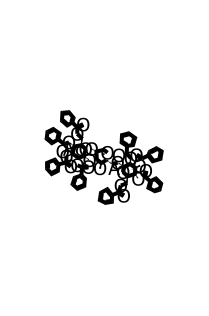 CC(=O)O[C@H]1[C@H](O[C@H]2O[C@H](COC(=O)c3ccccc3)[C@@H](OC(=O)c3ccccc3)[C@H](OC(=O)c3ccccc3)[C@@H]2OC(=O)c2ccccc2)[C@H](OC(C)=O)[CH]O[C@@H]1CO[C@H]1O[C@H](COC(=O)c2ccccc2)[C@@H](OC(=O)c2ccccc2)[C@H](OC(=O)c2ccccc2)[C@@H]1OC(=O)c1ccccc1